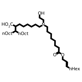 CCCCCCC=CCOC(=O)CCCCCCCN(CCO)CCCCCCC(C(=O)O)C(CCCCCCCC)CCCCCCCC